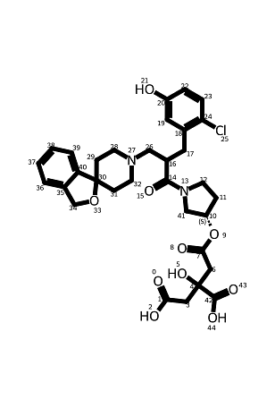 O=C(O)CC(O)(CC(=O)O[C@H]1CCN(C(=O)C(Cc2cc(O)ccc2Cl)CN2CCC3(CC2)OCc2ccccc23)C1)C(=O)O